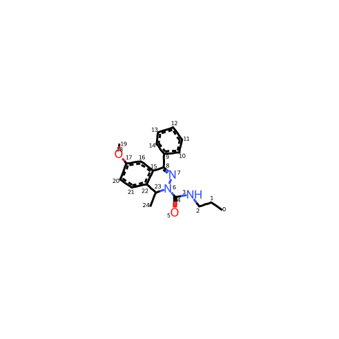 CCCNC(=O)N1N=C(c2ccccc2)c2cc(OC)ccc2C1C